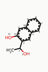 [CH2]C(O)c1cc2ccccc2cc1O